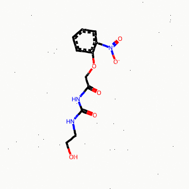 O=C(COc1ccccc1[N+](=O)[O-])NC(=O)NCCO